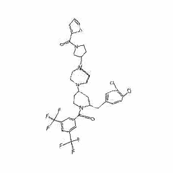 O=C(c1ccco1)N1CCC(N2CCN(C3CCN(C(=O)c4cc(C(F)(F)F)cc(C(F)(F)F)c4)C(Cc4ccc(Cl)c(Cl)c4)C3)CC2)C1